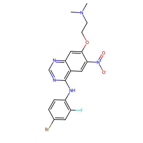 CN(C)CCOc1cc2ncnc(Nc3ccc(Br)cc3F)c2cc1[N+](=O)[O-]